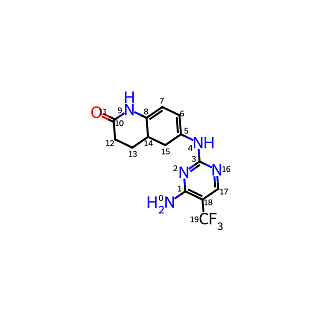 Nc1nc(NC2=CC=C3NC(=O)CCC3C2)ncc1C(F)(F)F